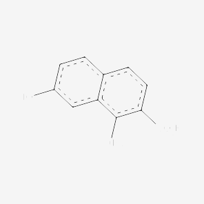 CCOC(=O)c1ccc2ccc(O)cc2c1C(C)(C)C